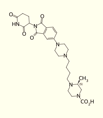 C[C@H]1CN(C(=O)O)CCN1CCCCN1CCN(c2ccc3c(c2)C(=O)N(C2CCC(=O)NC2=O)C3=O)CC1